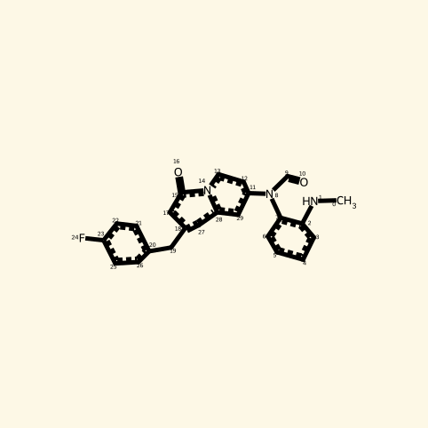 CNc1ccccc1N(C=O)c1ccn2c(=O)cc(Cc3ccc(F)cc3)cc2c1